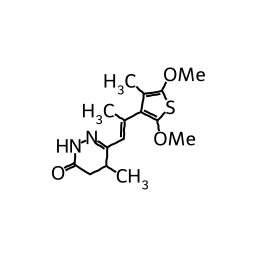 COc1sc(OC)c(C(C)=CC2=NNC(=O)CC2C)c1C